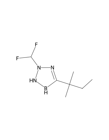 CCC(C)(C)C1=NN(C(F)F)NB1